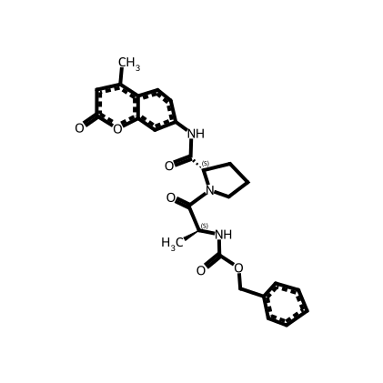 Cc1cc(=O)oc2cc(NC(=O)[C@@H]3CCCN3C(=O)[C@H](C)NC(=O)OCc3ccccc3)ccc12